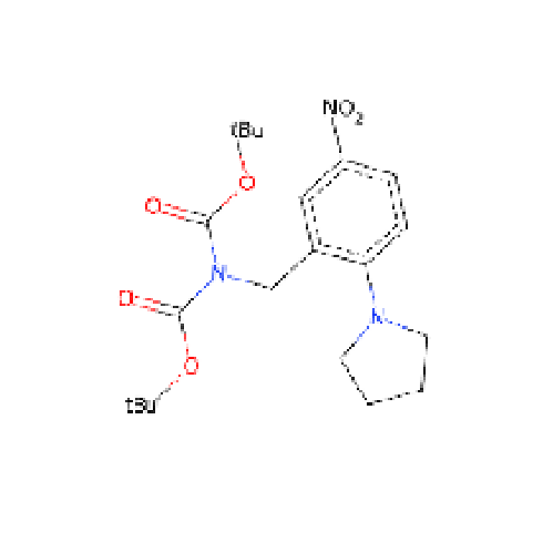 CC(C)(C)OC(=O)N(Cc1cc([N+](=O)[O-])ccc1N1CCCC1)C(=O)OC(C)(C)C